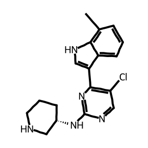 Cc1cccc2c(-c3nc(N[C@H]4CCCNC4)ncc3Cl)c[nH]c12